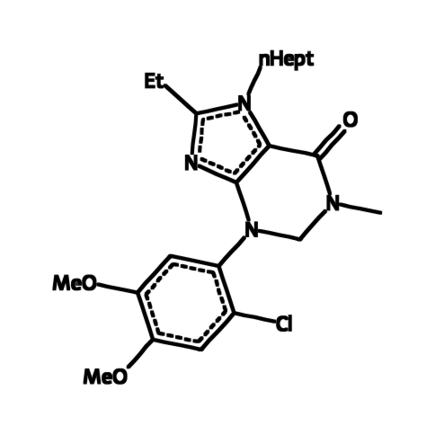 CCCCCCCn1c(CC)nc2c1C(=O)N(C)CN2c1cc(OC)c(OC)cc1Cl